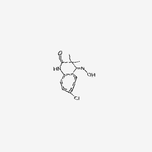 CC1(C)C(=O)Nc2ccc(Cl)cc2C1=NO